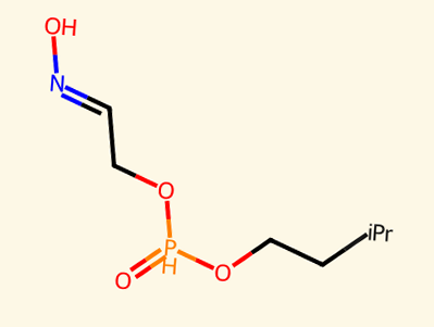 CC(C)CCO[PH](=O)OCC=NO